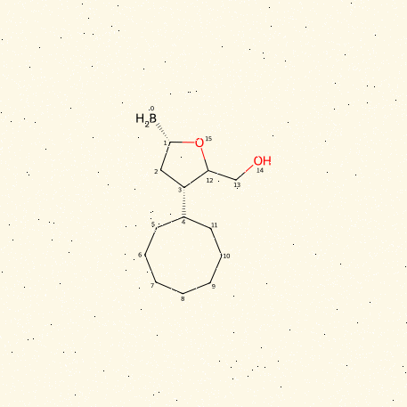 B[C@H]1C[C@@H](C2CCCCCCC2)C(CO)O1